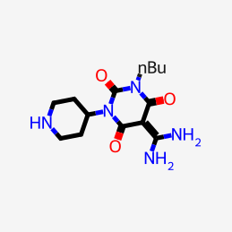 CCCCN1C(=O)C(=C(N)N)C(=O)N(C2CCNCC2)C1=O